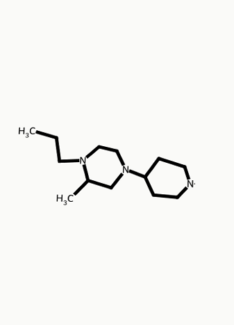 CCCN1CCN(C2CC[N]CC2)CC1C